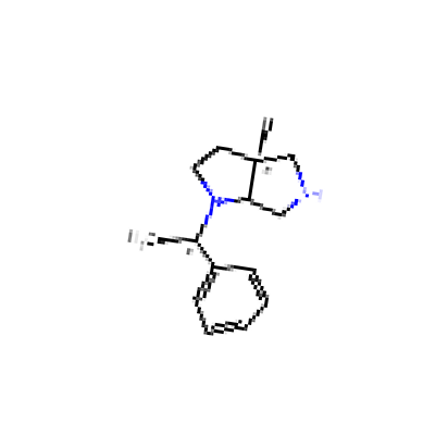 C[C@H](c1ccccc1)N1CC[C@@H]2CNCC21